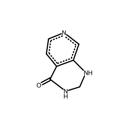 O=C1NCNc2cnccc21